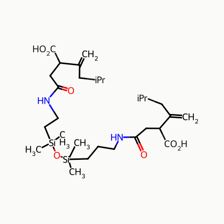 C=C(CC(C)C)C(CC(=O)NCCC[Si](C)(C)O[Si](C)(C)CCNC(=O)CC(C(=C)CC(C)C)C(=O)O)C(=O)O